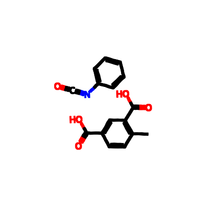 Cc1ccc(C(=O)O)cc1C(=O)O.O=C=Nc1ccccc1